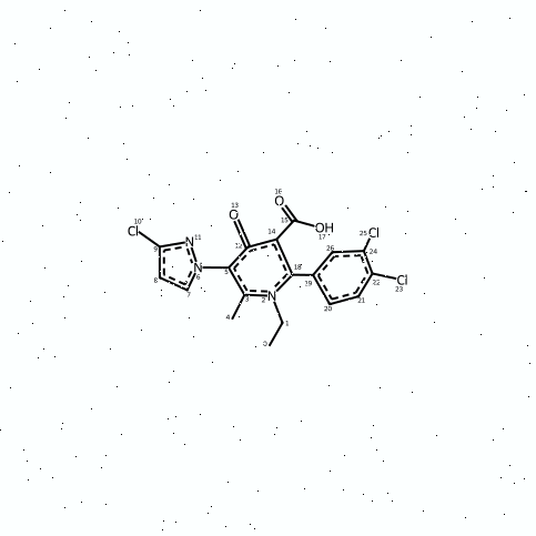 CCn1c(C)c(-n2ccc(Cl)n2)c(=O)c(C(=O)O)c1-c1ccc(Cl)c(Cl)c1